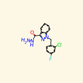 NNC(=O)c1nn(Cc2ccc(F)cc2Cl)c2ccccc12